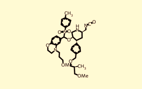 COCCCN1CCOc2ccc(C(O[C@H]3CN[C@@H](CN=C=O)C[C@@H]3c3ccc(COC[C@@H](C)COC)cc3)S(=O)(=O)c3ccc(C)cc3)cc21